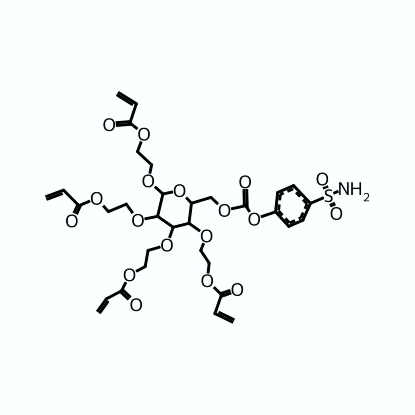 C=CC(=O)OCCOC1OC(COC(=O)Oc2ccc(S(N)(=O)=O)cc2)C(OCCOC(=O)C=C)C(OCCOC(=O)C=C)C1OCCOC(=O)C=C